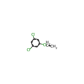 C=C.Clc1cc(Cl)cc(Cl)c1